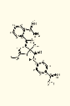 COC(=O)CC1(C(=O)Nc2ccc(C(=N)N)cc2)C=C(c2ccccc2C(=N)N)NO1